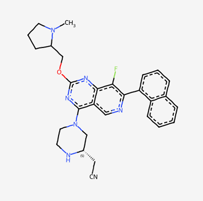 CN1CCCC1COc1nc(N2CCN[C@@H](CC#N)C2)c2cnc(-c3cccc4ccccc34)c(F)c2n1